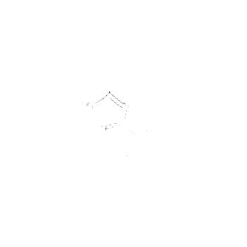 CCCN([C]=O)c1nc[nH]n1